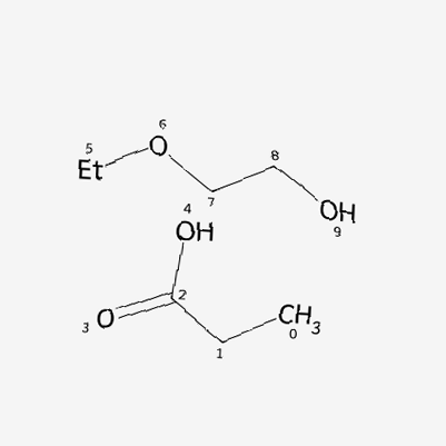 CCC(=O)O.CCOCCO